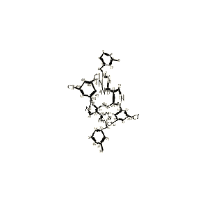 Cc1cccc(Cn2nnc(-c3cnn(-c4cc(Cl)cc(Cl)c4)c3SSc3c(-c4nnn(Cc5cccc(C)c5)n4)cnn3-c3cc(Cl)cc(Cl)c3)n2)c1